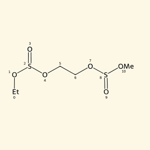 CCOS(=O)OCCOS(=O)OC